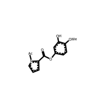 COc1ccc(OC(=O)c2cccn2C(C)=O)cc1O